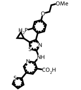 COCCOc1ccc(-c2nc(Nc3ncc(-c4cccs4)cc3C(=O)O)sc2C2CC2)c(P)c1